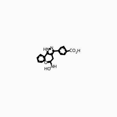 O=C(Cc1c(-c2ccc(C(=O)O)cc2)n[nH]c1-c1ccccc1)NO